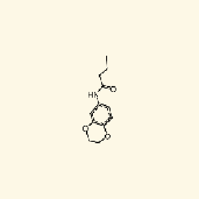 CCCC(=O)Nc1ccc2c(c1)OCCO2